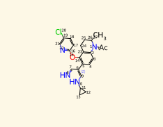 CC(=O)N1c2ccc(/C(C=N)=C/NC3CC3)c(Oc3ccc(Cl)cn3)c2CCC1C